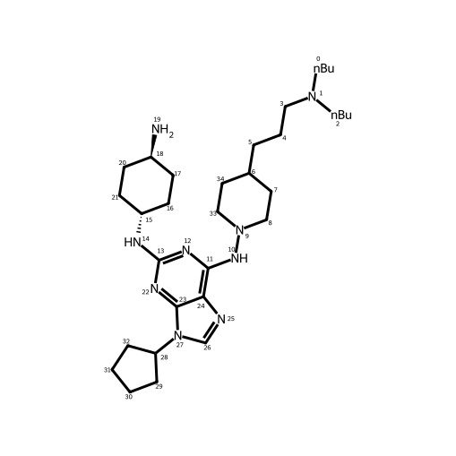 CCCCN(CCCC)CCCC1CCN(Nc2nc(N[C@H]3CC[C@H](N)CC3)nc3c2ncn3C2CCCC2)CC1